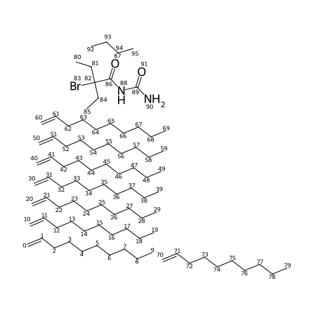 C=CCCCCCCCC.C=CCCCCCCCC.C=CCCCCCCCC.C=CCCCCCCCC.C=CCCCCCCCC.C=CCCCCCCCC.C=CCCCCCCCC.C=CCCCCCCCC.CCC(Br)(CC)C(=O)NC(N)=O.CCCC